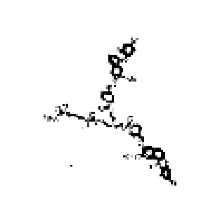 COc1cc2c(Nc3ccc(Br)cc3F)cccc2cc1OCC1CCN(C(=O)OCCN(CCOC(=O)NCCCCNC(=O)OC(C)(C)C)CCOC(=O)N2CCC(COc3cc4cccc(Nc5ccc(Br)cc5F)c4cc3OC)CC2)CC1